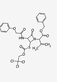 C=C(C)C(C(=O)OCc1ccccc1)N1C(=O)C(NC(=O)COc2ccccc2)C1SC(=O)OCC(Cl)(Cl)Cl